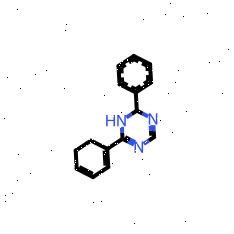 C1=CCCC(C2=NC=NC(c3ccccc3)N2)=C1